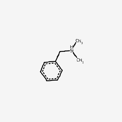 C[SiH](C)Cc1ccccc1